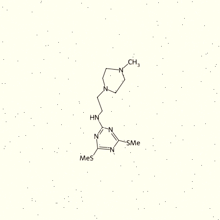 CSc1nc(NCCN2CCN(C)CC2)nc(SC)n1